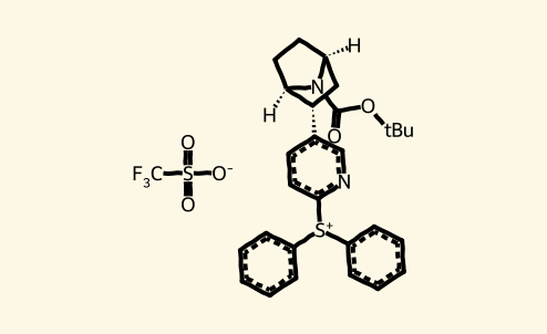 CC(C)(C)OC(=O)N1[C@H]2CC[C@@H]1[C@@H](c1ccc([S+](c3ccccc3)c3ccccc3)nc1)C2.O=S(=O)([O-])C(F)(F)F